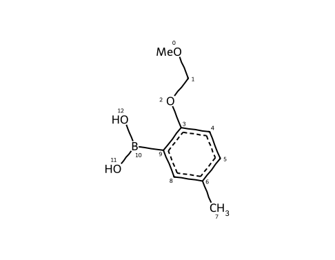 COCOc1ccc(C)cc1B(O)O